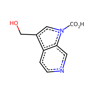 O=C(O)n1cc(CO)c2ccncc21